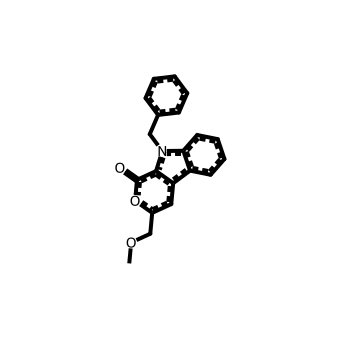 COCc1cc2c3ccccc3n(Cc3ccccc3)c2c(=O)o1